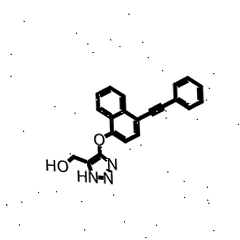 OCc1[nH]nnc1Oc1ccc(C#Cc2ccccc2)c2ccccc12